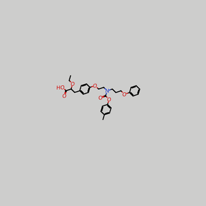 CCOC(Cc1ccc(OCCN(CCCOc2ccccc2)C(=O)Oc2ccc(C)cc2)cc1)C(=O)O